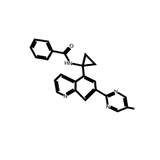 Cc1cnc(-c2cc(C3(NC(=O)c4ccccc4)CC3)c3cccnc3c2)nc1